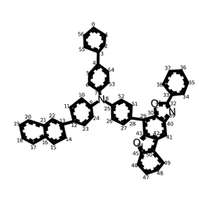 c1ccc(-c2ccc(N(c3ccc(-c4ccc5ccccc5c4)cc3)c3ccc(-c4c5oc(-c6ccccc6)nc5cc5c4oc4ccccc45)cc3)cc2)cc1